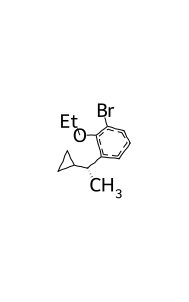 CCOc1c(Br)cccc1[C@H](C)C1CC1